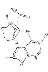 Cc1nc2c(N[C@H]3[C@@H](C(N)=O)[C@@H]4CC[C@H]3O4)c(Cl)cnc2[nH]1